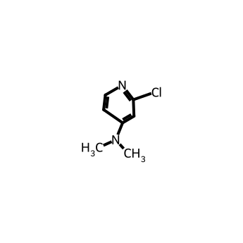 CN(C)c1ccnc(Cl)c1